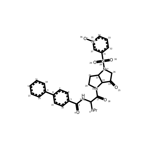 CCCC(NC(=O)c1ccc(-c2ccccc2)cc1)C(=O)N1CCC2C1C(=O)CN2S(=O)(=O)c1ccc[n+]([O-])c1